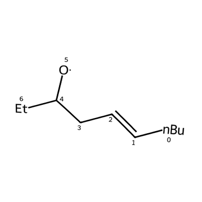 CCCCC=CCC([O])CC